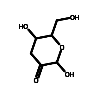 O=C1CC(O)C(CO)OC1O